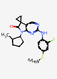 CNSc1ccc(Nc2ncc3c(n2)N(C2CCCC2C)C(=O)C32CC2)c(F)c1